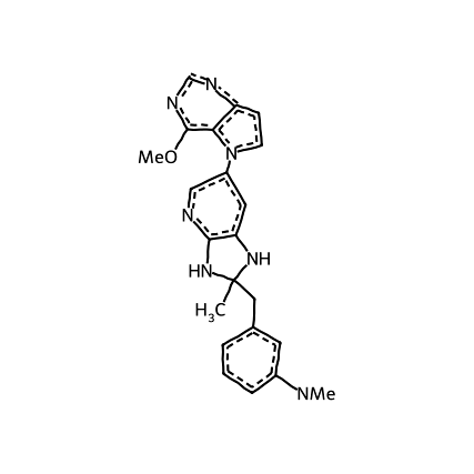 CNc1cccc(CC2(C)Nc3cc(-n4ccc5ncnc(OC)c54)cnc3N2)c1